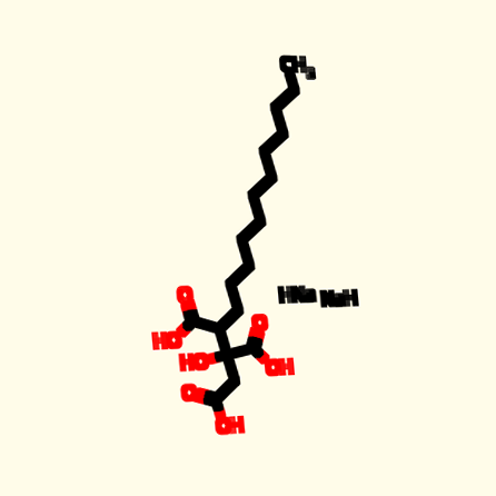 CCCCCCCCCCCCC(C(=O)O)C(O)(CC(=O)O)C(=O)O.[NaH].[NaH]